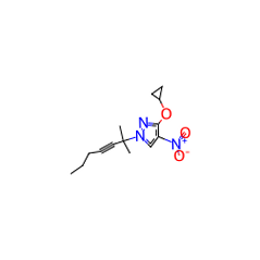 CCCC#CC(C)(C)n1cc([N+](=O)[O-])c(OC2CC2)n1